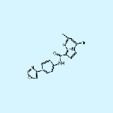 Cc1cc(Br)n2ccc(C(=O)Nc3ccc(-c4cocn4)cc3)c2n1